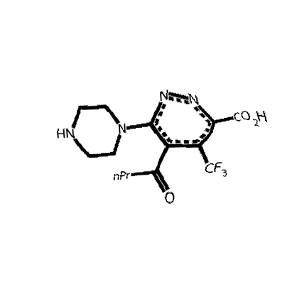 CCCC(=O)c1c(N2CCNCC2)nnc(C(=O)O)c1C(F)(F)F